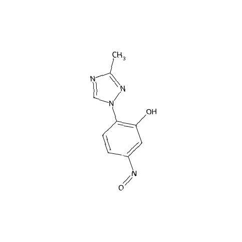 Cc1ncn(-c2ccc(N=O)cc2O)n1